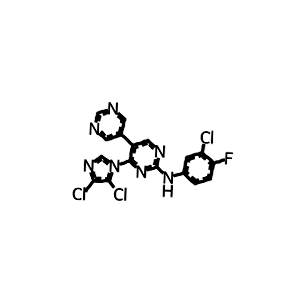 Fc1ccc(Nc2ncc(-c3cncnc3)c(-n3cnc(Cl)c3Cl)n2)cc1Cl